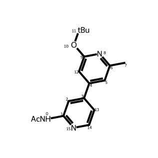 CC(=O)Nc1cc(-c2cc(C)nc(OC(C)(C)C)c2)ccn1